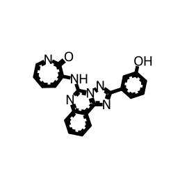 O=c1nccccc1Nc1nc2ccccc2c2nc(-c3cccc(O)c3)nn12